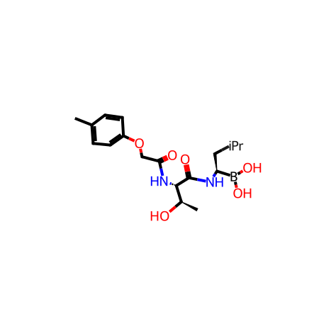 Cc1ccc(OCC(=O)N[C@H](C(=O)N[C@@H](CC(C)C)B(O)O)[C@@H](C)O)cc1